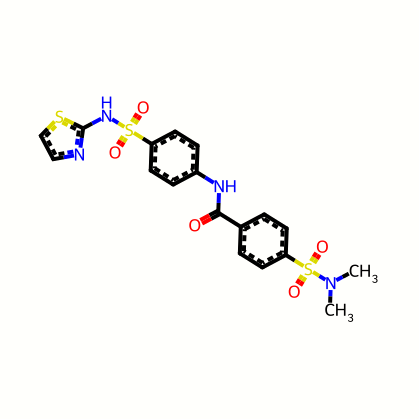 CN(C)S(=O)(=O)c1ccc(C(=O)Nc2ccc(S(=O)(=O)Nc3nccs3)cc2)cc1